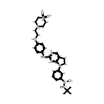 CC(C)(C)N[S+]([O-])c1cccc(N2CCc3cnc(Nc4ccc(OCCN5CCS(=O)(=O)CC5)cc4)nc32)c1